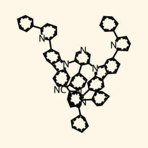 N#Cc1cccc(-c2c(-n3c4cc(-c5cccc(-c6ccccc6)n5)ccc4c4ccc(-c5cccc(-c6ccccc6)n5)cc43)cncc2-n2c3cc(-c4cccc(-c5ccccc5)n4)ccc3c3ccc(-c4cccc(-c5ccccc5)n4)cc32)c1